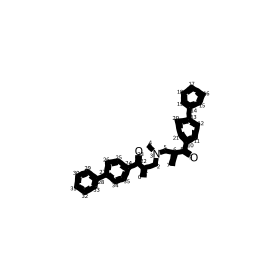 C=C(CN(C)CC(=C)C(=O)c1ccc(-c2ccccc2)cc1)C(=O)c1ccc(-c2ccccc2)cc1